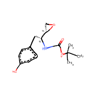 CC(C)(C)OC(=O)N[C@H](Cc1ccc(O)cc1)[C@@H]1CO1